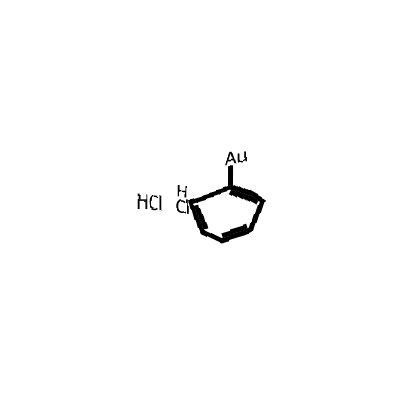 Cl.Cl.[Au][c]1ccccc1